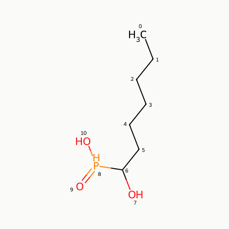 CCCCCCC(O)[PH](=O)O